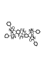 FC(F)(F)C(c1ccc(-c2nnc(-c3ccccc3)o2)c(-c2nnc(-c3ccccc3)o2)c1)(c1ccc(-c2nnc(-c3ccccc3)o2)c(-c2nnc(-c3ccccc3)o2)c1)C(F)(F)F